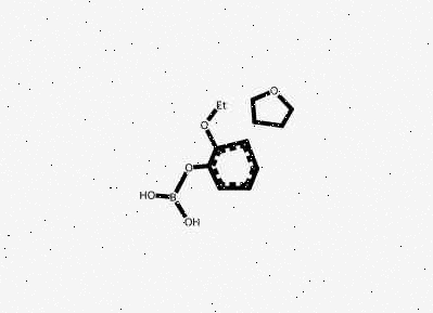 C1CCOC1.CCOc1ccccc1OB(O)O